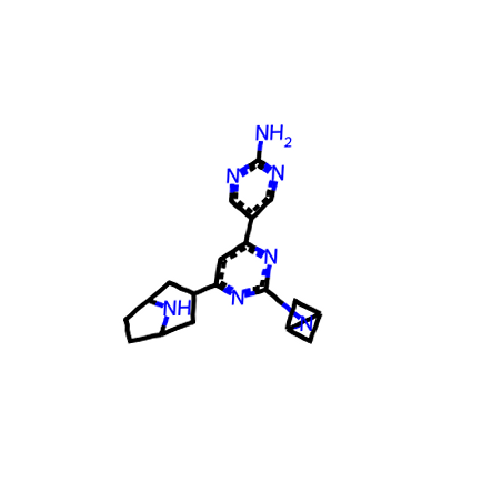 Nc1ncc(-c2cc(C3CC4CCC(C3)N4)nc(N3CC4CC3C4)n2)cn1